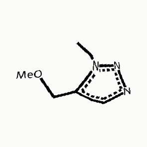 COCc1cnnn1C